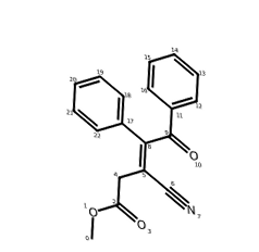 COC(=O)C/C(C#N)=C(/C(=O)c1ccccc1)c1ccccc1